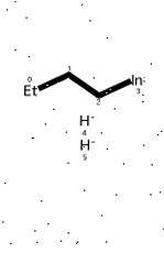 CCC[CH2][In].[H-].[H-]